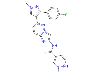 Cn1cc(-c2ccc3nc(NC(=O)C4=CNNC=C4)cn3n2)c(-c2ccc(F)cc2)n1